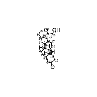 CC[C@@H]1C[C@H]2[C@H]3CCC4=CC(=O)CC[C@H]4[C@H]3CC[C@]2(C)[C@H]1C(=O)CO